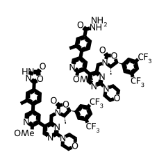 COc1ncc(-c2ccc(-c3n[nH]c(=O)o3)cc2C)cc1-c1cnc(N2CCOCC2)nc1CN1C(=O)O[C@H](c2cc(C(F)(F)F)cc(C(F)(F)F)c2)[C@@H]1C.COc1ncc(-c2ccc(C(=O)NN)cc2C)cc1-c1cnc(N2CCOCC2)nc1CN1C(=O)O[C@H](c2cc(C(F)(F)F)cc(C(F)(F)F)c2)[C@@H]1C